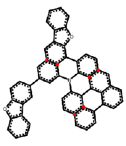 c1ccc(-c2cccc3cccc(-c4ccccc4N(c4cccc(-c5ccc6oc7ccccc7c6c5)c4)c4ccccc4-c4cccc5c4oc4ccccc45)c23)cc1